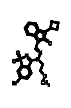 COCCN(/N=C/n1c(=O)n(C2CCC2)c2ccccc21)C1=NS(=O)(=O)c2cc(Br)ccc21